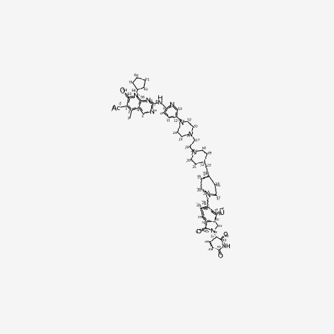 CC(=O)c1c(C)c2cnc(Nc3ccc(N4CCN(CCN5CCC(CC6CCN(c7ccc8c(c7Cl)CN([C@H]7CCC(=O)NC7=O)C8=O)CC6)CC5)CC4)cn3)nc2n(C2CCCC2)c1=O